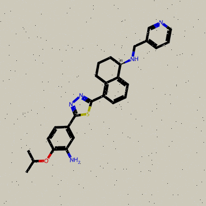 CC(C)Oc1ccc(-c2nnc(-c3cccc4c3CCC[C@H]4NCc3cccnc3)s2)cc1N